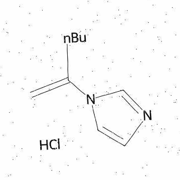 C=C(CCCC)n1ccnc1.Cl